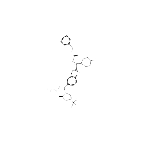 COC[C@H](c1ccc2oc([C@@H](NC(=O)OCc3ccccc3)C3CCC(F)CC3)nc2c1)N1C[C@@H](C(F)(F)F)NC1=O